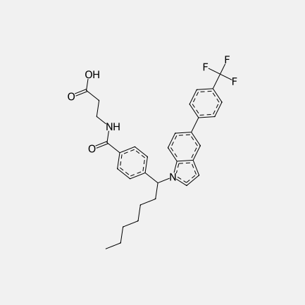 CCCCCCC(c1ccc(C(=O)NCCC(=O)O)cc1)n1ccc2cc(-c3ccc(C(F)(F)F)cc3)ccc21